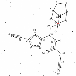 CC1CC2CCC(C1)N2CC[C@H](NC(=O)CC#N)c1ccc(C#N)s1